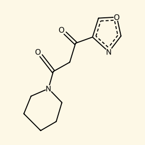 O=C(CC(=O)N1CCCCC1)c1cocn1